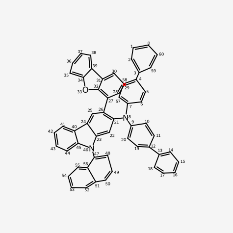 c1ccc(-c2ccc(N(c3ccc(-c4ccccc4)cc3)c3cc4c(cc3-c3cccc5c3oc3ccccc35)c3ccccc3n4-c3cccc4ccccc34)cc2)cc1